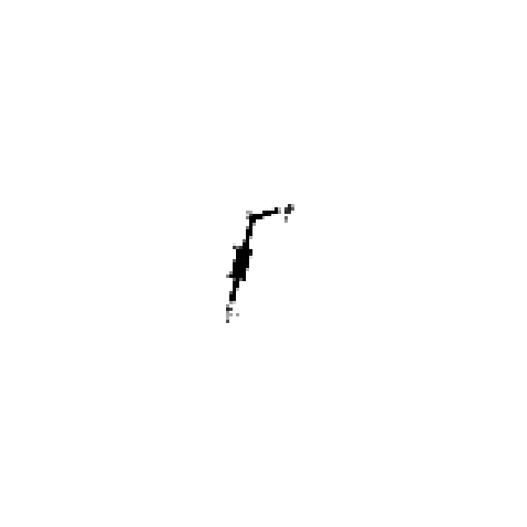 CCC#C[CH]CCC